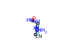 N#Cc1cccc(-c2cc3nc(Cc4c(F)cccc4CN[C@@H]4CCNC4=O)nn3c(N)n2)c1F